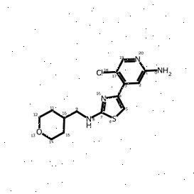 Nc1cc(-c2csc(NCC3CCOCC3)n2)c(Cl)cn1